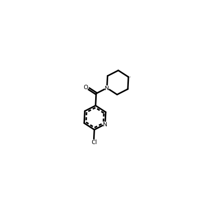 O=C(c1ccc(Cl)nc1)N1CC[CH]CC1